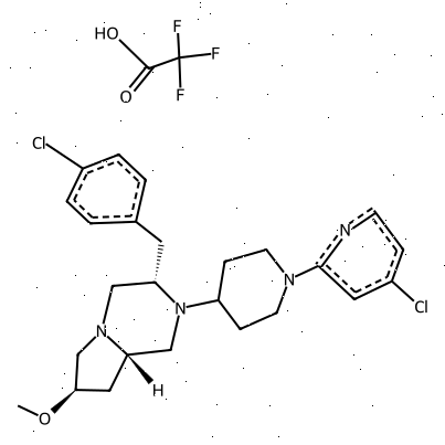 CO[C@@H]1C[C@H]2CN(C3CCN(c4cc(Cl)ccn4)CC3)[C@@H](Cc3ccc(Cl)cc3)CN2C1.O=C(O)C(F)(F)F